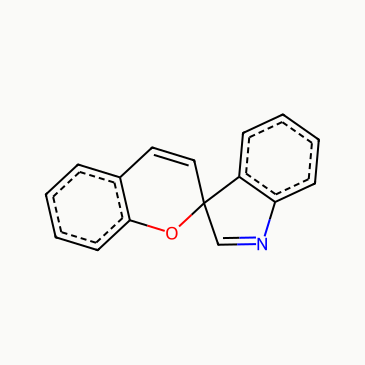 C1=CC2(C=Nc3ccccc32)Oc2ccccc21